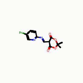 CC1(C)OC(=O)C(C=Nc2ccc(Br)cn2)C(=O)O1